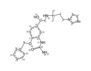 CC(C)(CCn1ccnc1)NCC(O)c1ccc(OCc2ccccc2)c(NC(N)=O)c1